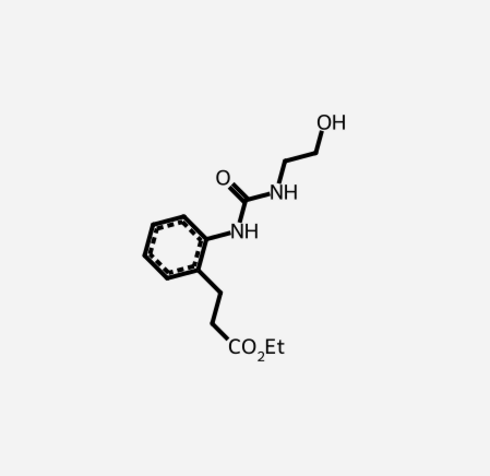 CCOC(=O)CCc1ccccc1NC(=O)NCCO